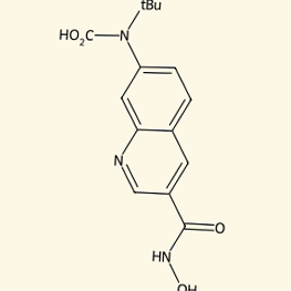 CC(C)(C)N(C(=O)O)c1ccc2cc(C(=O)NO)cnc2c1